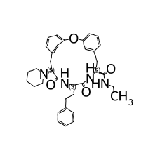 CCNC(=O)[C@@H]1Cc2cccc(c2)Oc2cccc(c2)C[C@H](N2CCCCC2)C(=O)N[C@@H](CCc2ccccc2)C(=O)N1